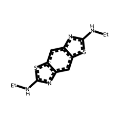 CCNc1nc2cc3sc(NCC)nc3cc2s1